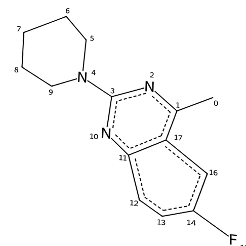 Cc1nc(N2CCCCC2)nc2ccc(F)cc12